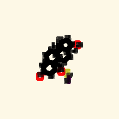 C[C@]12CCC3[C@@H](CCC4=CC(=O)CC[C@@]43COSI)C1CCC2=O